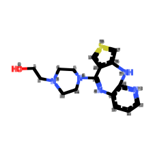 OCCN1CCN(C2=Nc3cccnc3Nc3cscc32)CC1